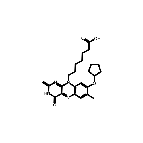 C=c1nc2c(c(=O)[nH]1)=Nc1cc(C)c(OC3CCCC3)cc1N2CCCCCCC(=O)O